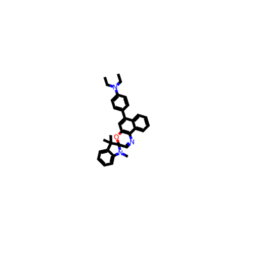 CCN(CC)c1ccc(-c2cc3c(c4ccccc24)N=CC2(O3)N(C)c3ccccc3C2(C)C)cc1